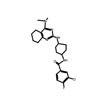 CN(C)c1nc(NC2CCC(NC(=O)c3ccc(F)c(Cl)c3)CC2)nc2c1CCCC2